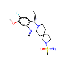 C=Nc1cc(OC)c(F)cc1/C(=C\C)N1CCC2(CC1)CCN(S(C)(=N)=O)C2